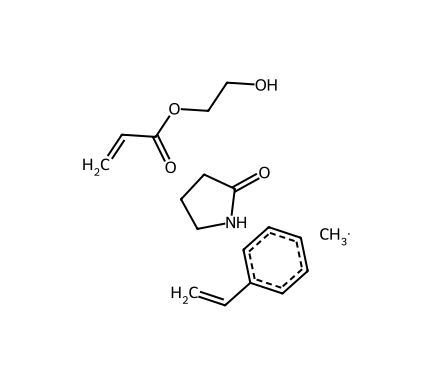 C=CC(=O)OCCO.C=Cc1ccccc1.O=C1CCCN1.[CH3]